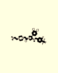 CN(C)CCN1CCN(CC(=O)N2C[C@H](c3ccc(Cl)c(Cl)c3)[C@H](N(C)Cc3ccc(C(F)(F)F)c(F)c3)C2)CC1